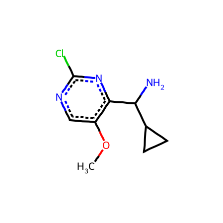 COc1cnc(Cl)nc1C(N)C1CC1